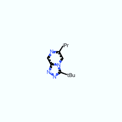 CC(C)c1cn2c(C(C)(C)C)nnc2cn1